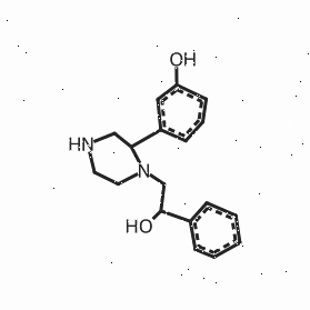 Oc1cccc(C2CNCCN2CC(O)c2ccccc2)c1